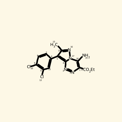 CCOC(=O)c1nnc2c(-c3ccc(Cl)c(Cl)c3)c(C)nn2c1N